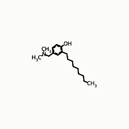 CCCCCCCCCc1cc(CN(C)C)ccc1O